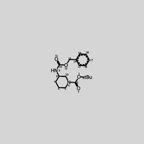 CC(C)(C)OC(=O)N1CCCC(NC(=O)OCc2ccccc2)C1